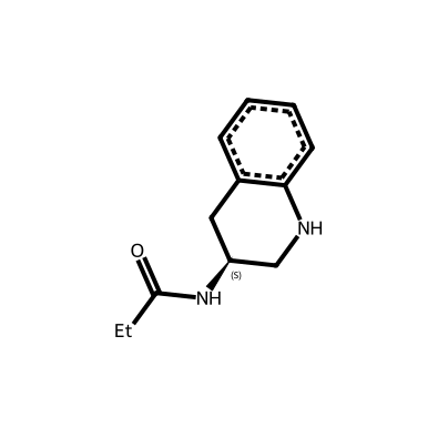 CCC(=O)N[C@@H]1CNc2ccccc2C1